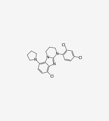 Clc1ccc(N2CCCn3c2nc2c(Cl)ccc(N4CCCC4)c23)c(Cl)c1